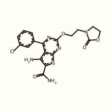 NC(=O)c1sc2nc(OCCN3CCOC3=O)nc(-c3cccc(Cl)c3)c2c1N